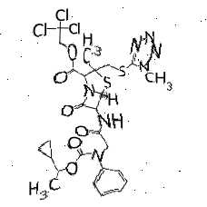 CC(OC(=O)N(CC(=O)NC1C(=O)N2C(C(=O)OCC(Cl)(Cl)Cl)C(C)(CSc3nnnn3C)S[C@H]12)c1ccccc1)C1CC1